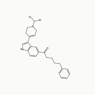 CCC(CC)N1CC=C(c2c[nH]c3ccc(C(=O)CCCCc4ccccc4)cc23)CC1